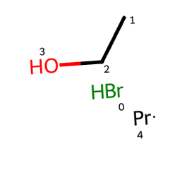 Br.CCO.[Pr]